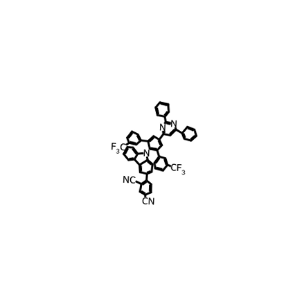 N#Cc1ccc(-c2ccc3c(c2)c2ccccc2n3-c2c(-c3cccc(C(F)(F)F)c3)cc(-c3cc(-c4ccccc4)nc(-c4ccccc4)n3)cc2-c2cccc(C(F)(F)F)c2)c(C#N)c1